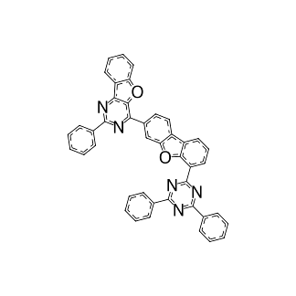 c1ccc(-c2nc(-c3ccccc3)nc(-c3cccc4c3oc3cc(-c5nc(-c6ccccc6)nc6c5oc5ccccc56)ccc34)n2)cc1